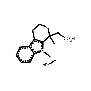 CCCI.CCn1c2c(c3ccccc31)CCOC2(C)CC(=O)O